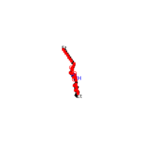 CCC=CCC=CCC=CCC=CCC=CC/C=C\CCC(=O)OC[C@@H]1CC[C@@H](n2ccc(NC(=O)CC/C=C\C/C=C\C/C=C\C/C=C\C/C=C\C/C=C\CC)nc2=O)O1